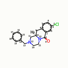 O=C1c2cc(Cl)ccc2C[C@@H]2CN(Cc3ccccc3)CCN12